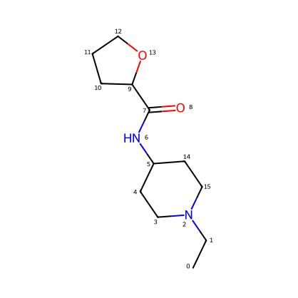 CCN1CCC(NC(=O)C2CCCO2)CC1